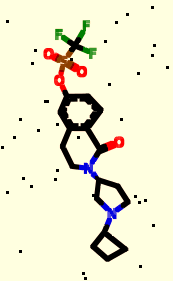 O=C1c2ccc(OS(=O)(=O)C(F)(F)F)cc2CCN1[C@H]1CCN(C2CCC2)C1